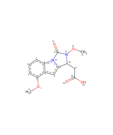 COc1cccc2c1cc1n2C(=O)N(OC)C1CC(=O)O